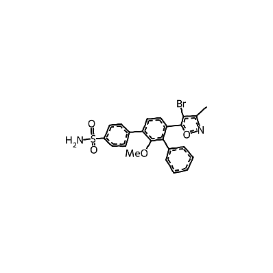 COc1c(-c2ccc(S(N)(=O)=O)cc2)ccc(-c2onc(C)c2Br)c1-c1ccccc1